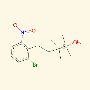 CC(C)(CCc1c(Br)cccc1[N+](=O)[O-])[Si](C)(C)O